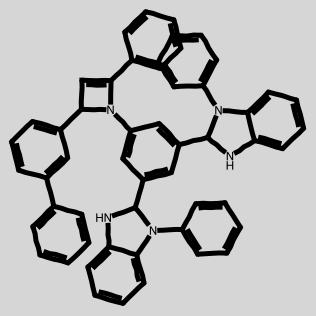 C1=C(c2ccccc2)N(c2cc(C3Nc4ccccc4N3c3ccccc3)cc(C3Nc4ccccc4N3c3ccccc3)c2)C1c1cccc(-c2ccccc2)c1